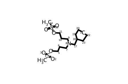 CS(=O)(=O)OCCCN(CCCOS(C)(=O)=O)CC1CCCCC1